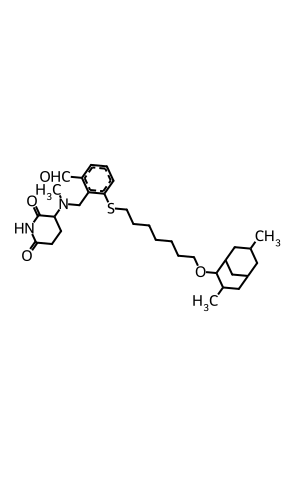 CC1CC2CC(C)C(OCCCCCCCSc3cccc(C=O)c3CN(C)C3CCC(=O)NC3=O)C(C1)C2